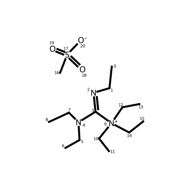 CCN=C(N(CC)CC)[N+](CC)(CC)CC.CS(=O)(=O)[O-]